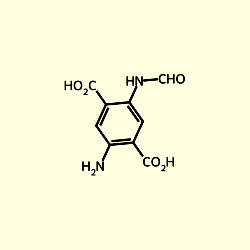 Nc1cc(C(=O)O)c(NC=O)cc1C(=O)O